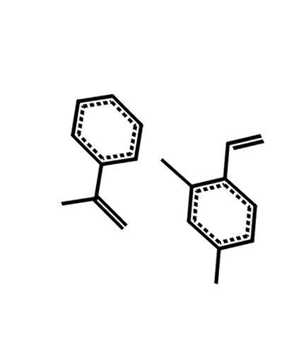 C=C(C)c1ccccc1.C=Cc1ccc(C)cc1C